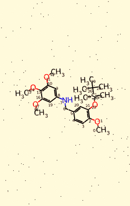 COc1ccc(CNc2cc(OC)c(OC)c(OC)c2)cc1O[Si](C)(C)C(C)(C)C